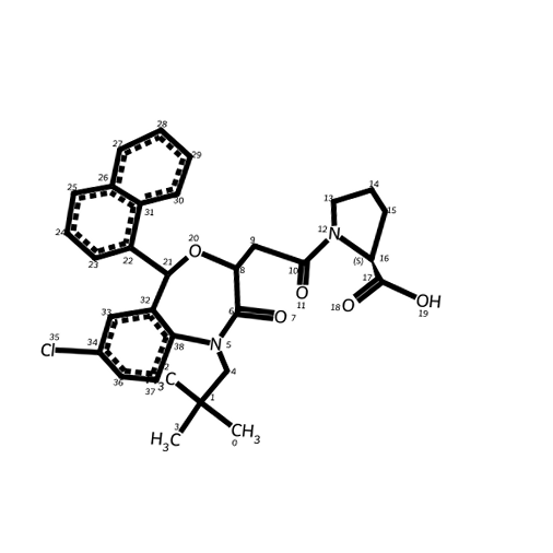 CC(C)(C)CN1C(=O)C(CC(=O)N2CCC[C@H]2C(=O)O)OC(c2cccc3ccccc23)c2cc(Cl)ccc21